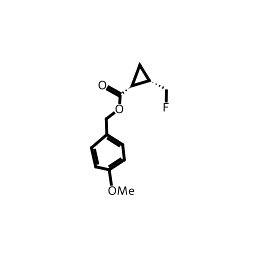 COc1ccc(COC(=O)[C@@H]2C[C@@H]2CF)cc1